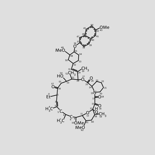 CCC1/C=C(\C)CC(C)CC(OC)C2OC(O)(C(=O)C(=O)N3CCCCC3C(=O)OC(C(C)=CC3CCC(Oc4ccc5cc(OC)ccc5c4)C(OC)C3)C(C)C(O)CC1=O)C(C)CC2OC